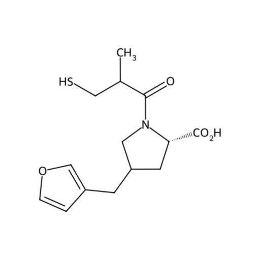 CC(CS)C(=O)N1CC(Cc2ccoc2)C[C@H]1C(=O)O